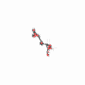 Cc1ncsc1-c1ccc(CNC(=O)C2C[C@@H](O)CN2C(=O)C(NC(=O)CCCCCc2cnnn2CCCCCCCNC(=O)c2ccc3c(c2)c2cn(C)nc2n3-c2ccc(C(F)(F)F)cc2)C(C)(C)C)cc1